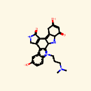 CN(C)CCCn1c2c(c3cc(O)ccc31)C1=C(C(=O)NC1)C1=C3CC(O)=CC(=O)C3NC12